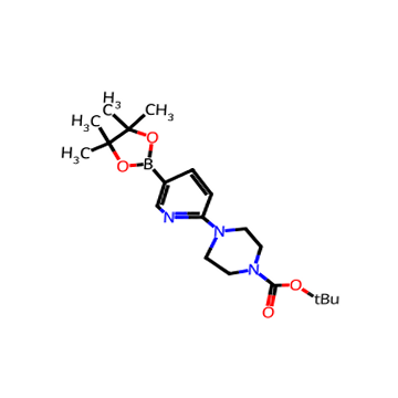 CC(C)(C)OC(=O)N1CCN(c2ccc(B3OC(C)(C)C(C)(C)O3)cn2)CC1